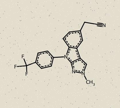 Cn1cc2c3cc(CC#N)ccc3n(-c3ccc(C(F)(F)F)cc3)c2n1